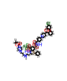 CN(CCCN1CCN(C(=O)OC(C)(C)C)CC1)CC[C@H](CSc1ccccc1)Nc1ccc(S(=O)(=O)NC(=O)c2ccc(N3CCC([C@H](O)c4ccccc4-c4ccc(Cl)cc4)CC3)cc2)cc1S(=O)(=O)C(F)(F)F